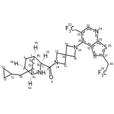 O=C([C@H]1N[C@H]2CC[C@@H]1C[C@@H]2CC1CC1)N1CC2(C1)CN(c1c(C(F)(F)F)cnc3sc(CC(F)(F)F)cc13)C2